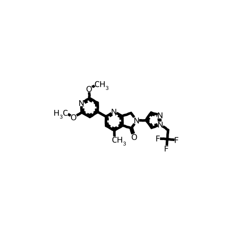 COc1cc(-c2cc(C)c3c(n2)CN(c2cnn(CC(F)(F)F)c2)C3=O)cc(OC)n1